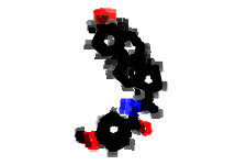 COc1ccc(C(=O)N[C@H](C)C2CC[C@H]3[C@@H]4CC[C@@H]5C[C@](C)(O)CC[C@@H]5[C@H]4CC[C@]23C)cc1